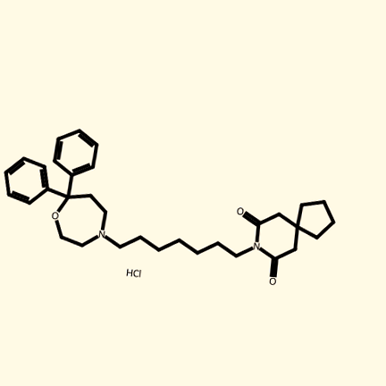 Cl.O=C1CC2(CCCC2)CC(=O)N1CCCCCCCN1CCOC(c2ccccc2)(c2ccccc2)CC1